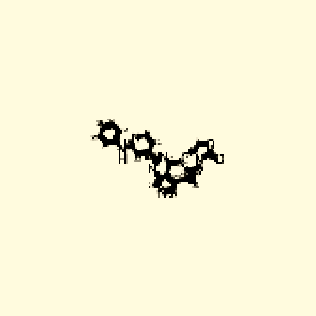 O=C1OCC2CN(c3nc(-c4ccnc(Nc5ccccc5)c4)nc4cncc(C5CC5)c34)CCN12